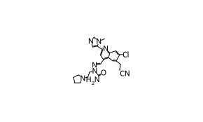 Cn1cncc1-c1cc(/C=N/N(CCN2CCCC2)C(N)=O)c2cc(CCC#N)c(Cl)cc2n1